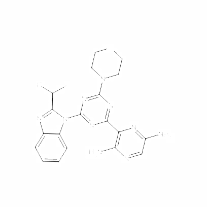 Nc1cnc(N)c(-c2nc(N3CCOCC3)nc(-n3c(C(F)F)nc4ccccc43)n2)n1